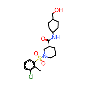 Cc1c(Cl)cccc1S(=O)(=O)N1CCC[C@H](C(=O)NC2CCC(CO)CC2)C1